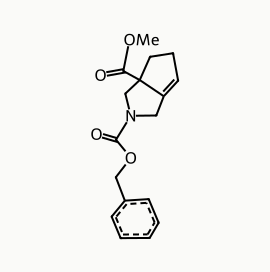 COC(=O)C12CCC=C1CN(C(=O)OCc1ccccc1)C2